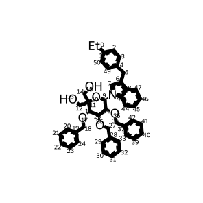 CCc1ccc(Cc2cn([C@H]3OC(CO)(CO)[C@@H](OCc4ccccc4)[C@H](OCc4ccccc4)[C@H]3OCc3ccccc3)c3ccccc23)cc1